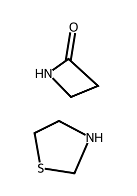 C1CSCN1.O=C1CCN1